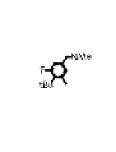 CNCc1cc(C)c(C(C)(C)C)c(F)c1